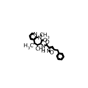 C[C@@H]1[C@H](NC(=O)c2cc(Cc3ccccc3)on2)C(=O)N(C)c2ncccc2[C@@H]1C